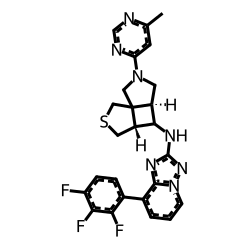 Cc1cc(N2C[C@H]3C(Nc4nc5c(-c6ccc(F)c(F)c6F)cccn5n4)[C@@H]4CSCC43C2)ncn1